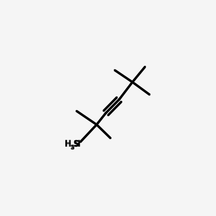 CC(C)(C)C#CC(C)(C)[SiH3]